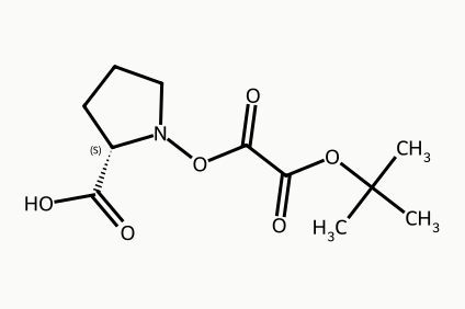 CC(C)(C)OC(=O)C(=O)ON1CCC[C@H]1C(=O)O